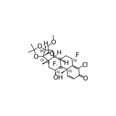 COCC(=O)[C@@]12OC(C)(C)O[C@@H]1C[C@H]1[C@@H]3C[C@H](F)C4=C(Cl)C(=O)C=C[C@]4(C)[C@@]3(F)[C@@H](O)C[C@@]12C